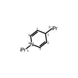 CC(C)C1C=CN(C(C)C)C=C1